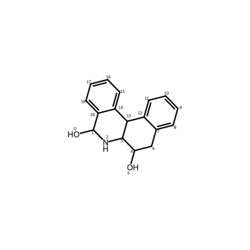 OC1NC2C(O)Cc3ccccc3C2c2ccccc21